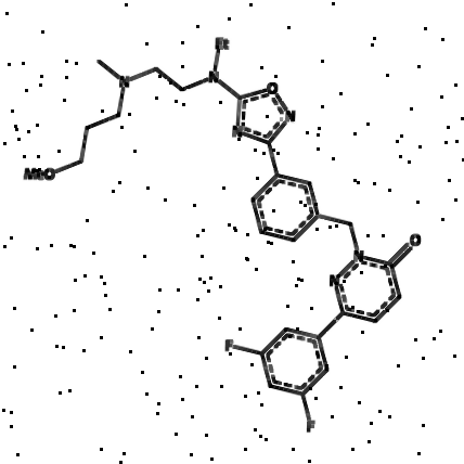 CCN(CCN(C)CCCOC)c1nc(-c2cccc(Cn3nc(-c4cc(F)cc(F)c4)ccc3=O)c2)no1